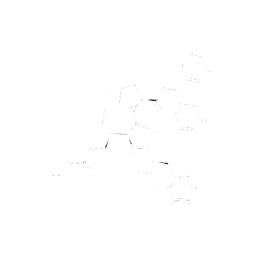 CCNC(=O)NC[C@H]1CC[C@H]2CC[C@@H](C(=O)NC(c3ccccc3)c3ccccc3)N2C(=O)[C@H]1NC(=O)[C@@H](Cc1ccccc1)NC